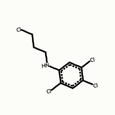 ClCCCNc1cc(Cl)c(Cl)cc1Cl